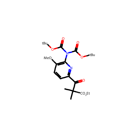 CCOC(=O)C(C)(C)C(=O)c1ccc(OC)c(N(C(=O)OC(C)(C)C)C(=O)OC(C)(C)C)n1